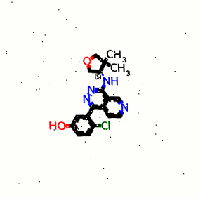 CC1(C)COC[C@H]1Nc1nnc(-c2cc(O)ccc2Cl)c2ccncc12